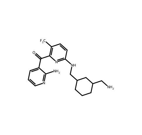 NCC1CCCC(CNc2ccc(C(F)(F)F)c(C(=O)c3cccnc3N)n2)C1